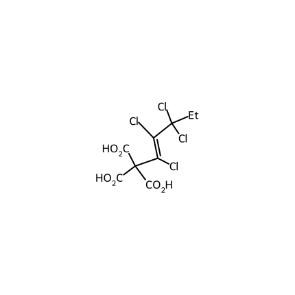 CCC(Cl)(Cl)C(Cl)=C(Cl)C(C(=O)O)(C(=O)O)C(=O)O